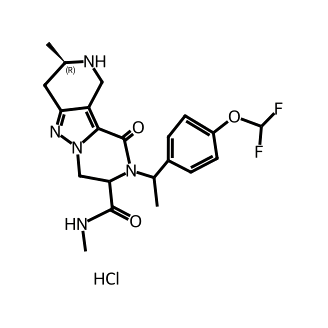 CNC(=O)C1Cn2nc3c(c2C(=O)N1C(C)c1ccc(OC(F)F)cc1)CN[C@H](C)C3.Cl